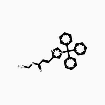 CCOC(=O)/C=C/c1cn(C(c2ccccc2)(c2ccccc2)c2ccccc2)cn1